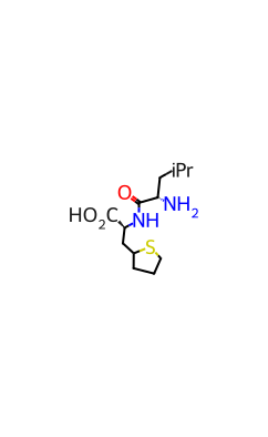 CC(C)C[C@H](N)C(=O)N[C@@H](CC1CCCS1)C(=O)O